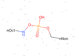 CCCCCCCCCCOP(=O)(O)ONCCCCCCCC